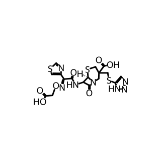 O=C(O)CON=C(C(=O)NC1C(=O)N2CC(CSc3cnn[nH]3)(C(=O)O)CS[C@H]12)c1cscn1